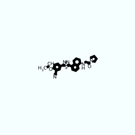 CC(C)Oc1ccc(-c2nnc(-c3cccc4c3CCC[C@@H]4NCC(=O)N3CCCC3)s2)cc1C#N